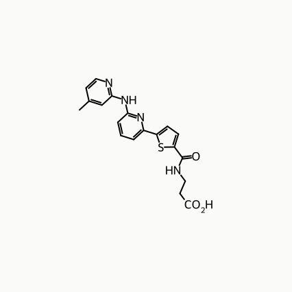 Cc1ccnc(Nc2cccc(-c3ccc(C(=O)NCCC(=O)O)s3)n2)c1